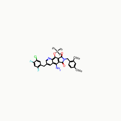 COc1ccc(CN2C(=O)c3c(c(O[Si](C(C)C)(C(C)C)C(C)C)c4ncc(Cc5cc(Cl)c(F)cc5F)cc4c3N)C2=O)c(OC)c1